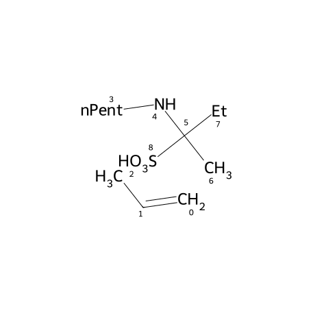 C=CC.CCCCCNC(C)(CC)S(=O)(=O)O